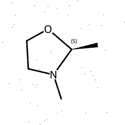 C[C@@H]1OCCN1C